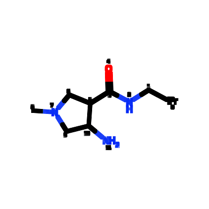 CC(C)CNC(=O)C1CN(C)CC1N